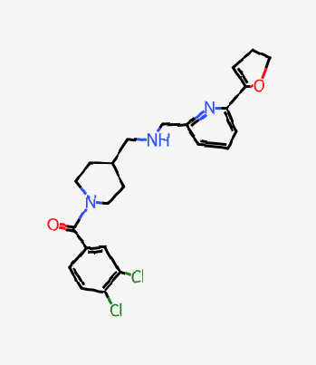 O=C(c1ccc(Cl)c(Cl)c1)N1CCC(CNCc2cccc(C3=CCCO3)n2)CC1